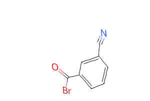 N#Cc1cccc(C(=O)Br)c1